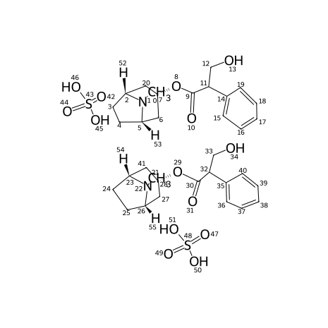 CN1[C@@H]2CC[C@H]1C[C@@H](OC(=O)C(CO)c1ccccc1)C2.CN1[C@@H]2CC[C@H]1C[C@@H](OC(=O)C(CO)c1ccccc1)C2.O=S(=O)(O)O.O=S(=O)(O)O